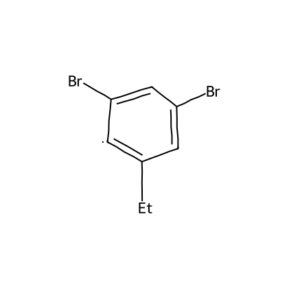 CCc1[c]c(Br)cc(Br)c1